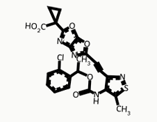 Cc1snc(C#Cc2nc3nc(C4(C(=O)O)CC4)oc3o2)c1NC(=O)OC(C)c1ccccc1Cl